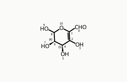 O=CC1=C(O)[C@@H](O)[C@@H](O)C(O)O1